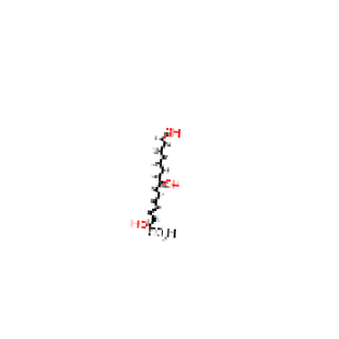 O=C(O)C(O)CCCCCCC(O)CCCCCCCO